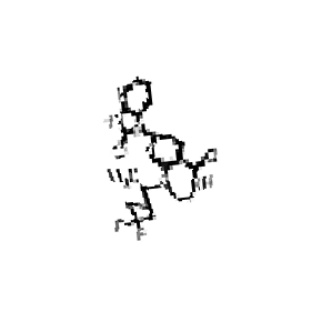 C[C@@H](C1CC(F)(F)C1)N1CCNC(=O)c2ccc(-n3c(=O)[nH]c4ncccc43)nc21